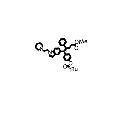 COC(=O)CC/C(=C(\c1ccc(OC(=O)C(C)(C)C)cc1)c1ccc2c(ccn2CCN2CCCCC2)c1)c1ccccc1